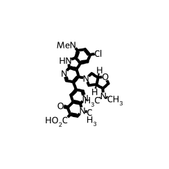 CNc1cc(Cl)cc2c1[nH]c1ncc(-c3cnc4c(c3)c(=O)c(C(=O)O)cn4C)c(N3C[C@@H]4OCC(N(C)C)[C@@H]4C3)c12